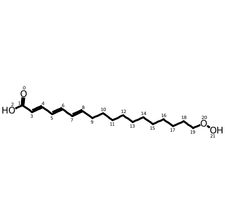 O=C(O)C=CC=CC=CCCCCCCCCCCCOO